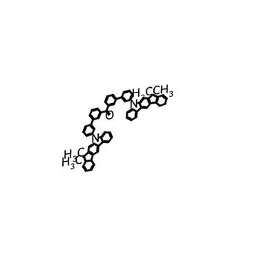 CC1(C)C2=C(CCC=C2)c2cc3c4ccccc4n(-c4cccc(-c5cccc(C(=O)c6cccc(-c7cccc(-n8c9ccccc9c9cc%10c(cc98)C(C)(C)C8C=CC=CC%108)c7)c6)c5)c4)c3cc21